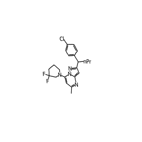 CCCC(c1ccc(Cl)cc1)c1cc2nc(C)cc(N3CCCC(F)(F)C3)n2n1